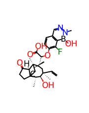 C=C[C@]1(C)C[C@@H](C(Oc2ccc3c(c2F)B(O)N(C)N=C3)C(=O)O)[C@@]2(C)[C@H](C)CC[C@]3(CCC(=O)[C@H]32)[C@@H](C)[C@@H]1O